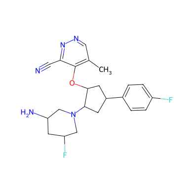 Cc1cnnc(C#N)c1OC1CC(c2ccc(F)cc2)CC1N1CC(N)CC(F)C1